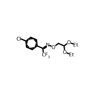 CCOC(CON=C(c1ccc(Cl)cc1)C(F)(F)F)OCC